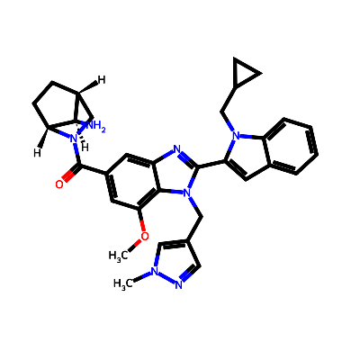 COc1cc(C(=O)N2C[C@H]3CC[C@@H]2[C@@H]3N)cc2nc(-c3cc4ccccc4n3CC3CC3)n(Cc3cnn(C)c3)c12